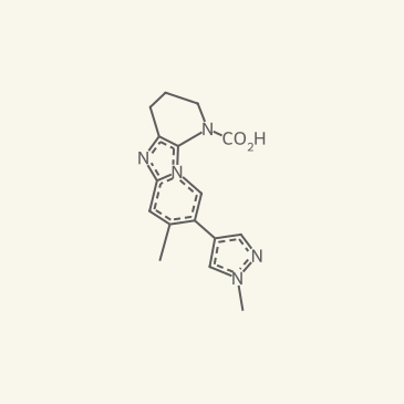 Cc1cc2nc3c(n2cc1-c1cnn(C)c1)N(C(=O)O)CCC3